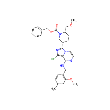 COC[C@@H]1CC[C@H](c2nc(Br)c3c(NCc4ccc(C)cc4OC)nccn23)CN1C(=O)OCc1ccccc1